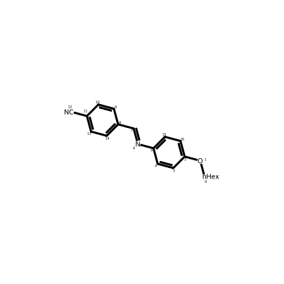 CCCCCCOc1ccc(N=Cc2ccc(C#N)cc2)cc1